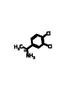 C[C@H](N)c1ccc(Cl)c(Cl)c1